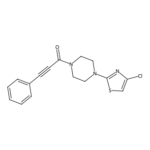 O=C(C#Cc1ccccc1)N1CCN(c2nc(Cl)cs2)CC1